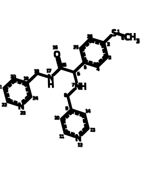 CSc1ccc(C(NCc2ccncc2)C(=O)NCc2cccnc2)cc1